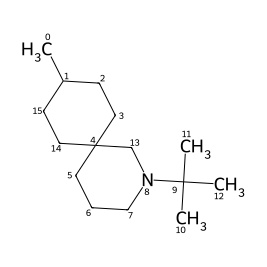 CC1CCC2(CCCN(C(C)(C)C)C2)CC1